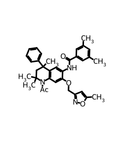 CC(=O)N1c2cc(OCc3cc(C)on3)c(NC(=O)c3cc(C)cc(C)c3)cc2C(C)(c2ccccc2)CC1(C)C